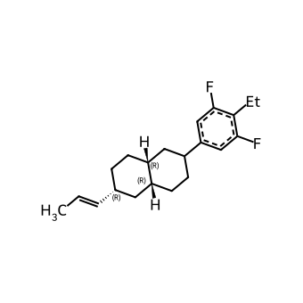 CC=C[C@@H]1CC[C@@H]2CC(c3cc(F)c(CC)c(F)c3)CC[C@@H]2C1